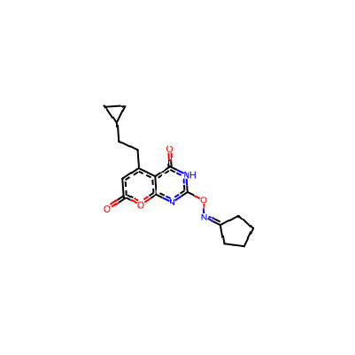 O=c1cc(CCC2CC2)c2c(=O)[nH]c(ON=C3CCCC3)nc2o1